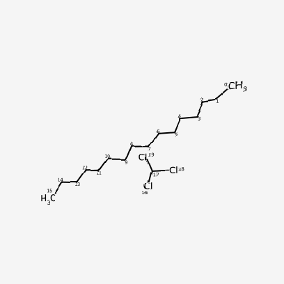 CCCCCCCCCCCCCCCC.ClC(Cl)Cl